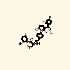 CC(C)C[C@H](NCCc1ccc(-n2c(N)c(C(=O)c3ccc(F)cc3F)ccc2=O)cc1)C(=O)O[C@@H]1C[C@@H](C)CC[C@H]1C(C)C